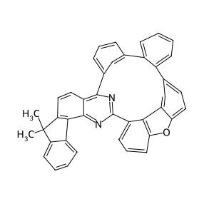 CC1(C)c2ccccc2-c2c1ccc1c2nc2nc1c1cccc(c1)c1ccccc1c1ccc3oc4cccc2c4c3c1